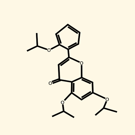 CC(C)Oc1cc(OC(C)C)c2c(=O)cc(-c3ccccc3OC(C)C)oc2c1